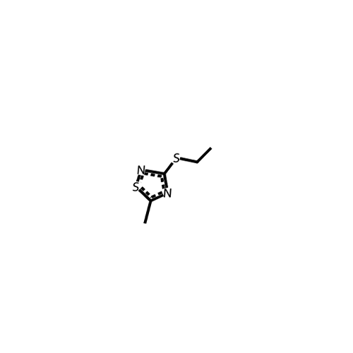 CCSc1nsc(C)n1